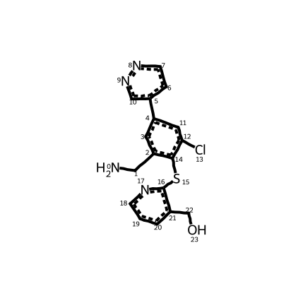 NCc1cc(-c2ccnnc2)cc(Cl)c1Sc1ncccc1CO